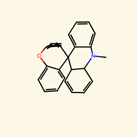 CN1c2ccccc2C2(c3ccccc3Oc3ccccc32)C2C=CC=CC21